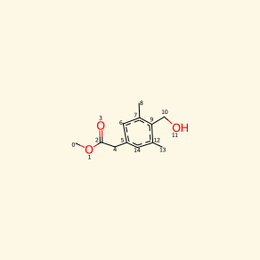 COC(=O)Cc1cc(C)c(CO)c(C)c1